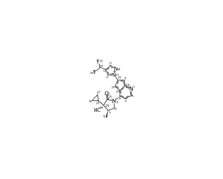 C[C@@H]1CN(c2ccnn3cc(-n4cc(C(F)F)cn4)cc23)C(=O)[C@]1(C#N)C1CC1